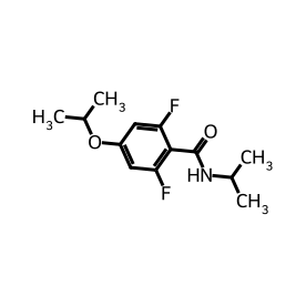 CC(C)NC(=O)c1c(F)cc(OC(C)C)cc1F